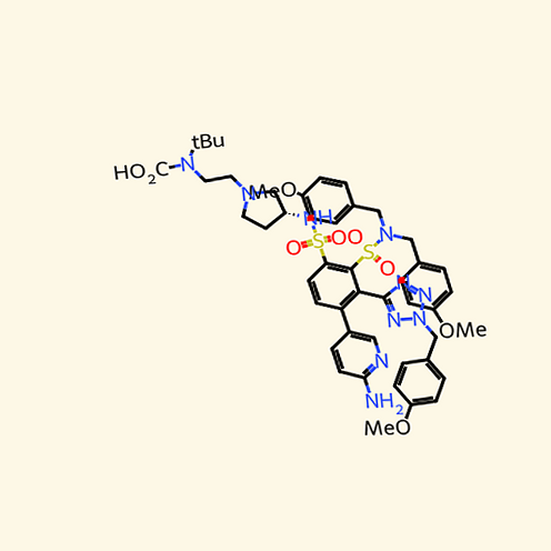 COc1ccc(CN(Cc2ccc(OC)cc2)S(=O)(=O)c2c(S(=O)(=O)N[C@@H]3CCN(CCN(C(=O)O)C(C)(C)C)C3)ccc(-c3ccc(N)nc3)c2-c2nnn(Cc3ccc(OC)cc3)n2)cc1